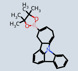 CC1(C)OB(C2=CCC=C3C(C2)c2cccc4c5ccccc5n3c24)OC1(C)C